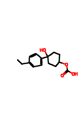 CCc1ccc(C2(O)CCC(OC(=O)O)CC2)cc1